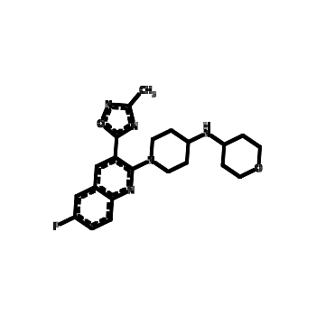 Cc1noc(-c2cc3cc(F)ccc3nc2N2CCC(NC3CCOCC3)CC2)n1